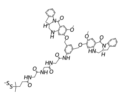 COc1cc2c(cc1OCc1cc(COc3cc4c(cc3OC)C(=O)N3c5ccccc5C[C@H]3CN4)cc(NC(=O)CNC(=O)CNC(=O)CNC(=O)CCC(C)(C)SSC)c1)NC[C@@H]1Cc3ccccc3N1C2=O